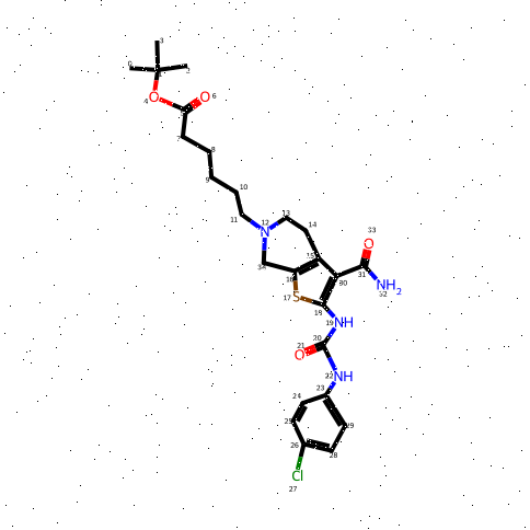 CC(C)(C)OC(=O)CCCCCN1CCc2c(sc(NC(=O)Nc3ccc(Cl)cc3)c2C(N)=O)C1